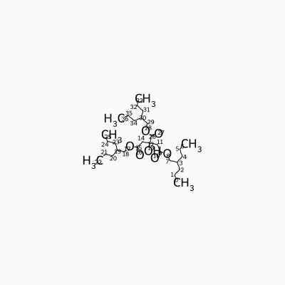 CCCC(CCC)COC(=O)CC(O)(CC(=O)OCC(CCC)CCC)C(=O)OCC(CCC)CCC